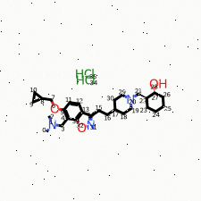 CN(C)Cc1c(OCC2CC2)ccc2c(CCC3CCN(C[C@@H]4CCCC[C@H]4O)CC3)noc12.Cl.Cl